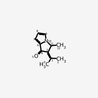 CC(C)=C1C(=O)c2cccn2C1C